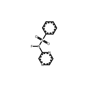 O=S(=O)(c1ccccc1)N(F)c1cnccn1